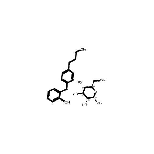 OCCCc1ccc(Cc2ccccc2O)cc1.OC[C@H]1O[C@@H](O)[C@H](O)[C@@H](O)[C@@H]1O